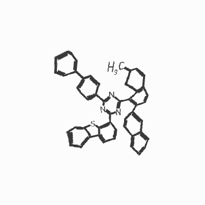 CC1C=Cc2ccc(-c3ccc4ccccc4c3)c(-c3nc(-c4ccc(-c5ccccc5)cc4)nc(-c4cccc5c4sc4ccccc45)n3)c2C1